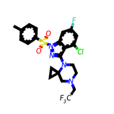 Cc1ccc(S(=O)(=O)n2nc(N3CCN(CC(F)(F)F)CC34CC4)c3c(Cl)cc(F)cc32)cc1